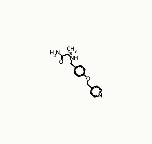 C[C@H](NCc1ccc(OCc2ccncc2)cc1)C(N)=O